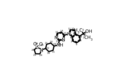 CC(C)(O)c1cccc2c1ccn2-c1ccnc(NC2CCC(N3CCCS3(=O)=O)CC2)n1